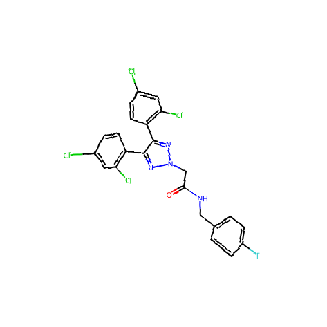 O=C(Cn1nc(-c2ccc(Cl)cc2Cl)c(-c2ccc(Cl)cc2Cl)n1)NCc1ccc(F)cc1